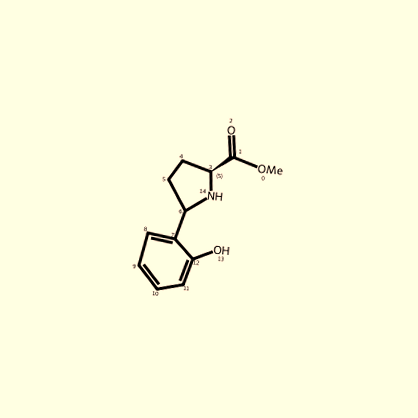 COC(=O)[C@@H]1CCC(c2ccccc2O)N1